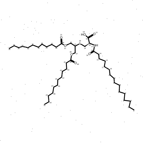 CCCCCCCCCCCCCCCC(=O)N[C@@H](CSC(COC(=O)CCCCCCCCCCC)COC(=O)CCCCCCCCCCC)C(=O)O